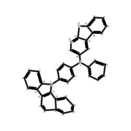 c1ccc(N(c2ccc(-n3c4ccccc4c4ccc5ccccc5c43)cc2)c2cnc3oc4ccccc4c3c2)cc1